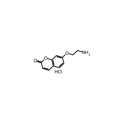 Cl.NCCOc1ccc2ccc(=O)oc2c1